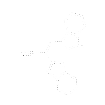 N#CC(=Cc1c[nH]c2ccccc12)c1nc2ccccc2s1